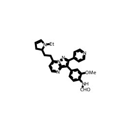 CCN1C=CCC1CCc1ccnc2c(-c3ccc(NC=O)c(OC)c3)c(-c3ccncc3)nn12